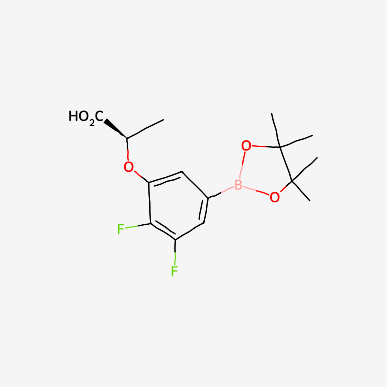 C[C@@H](Oc1cc(B2OC(C)(C)C(C)(C)O2)cc(F)c1F)C(=O)O